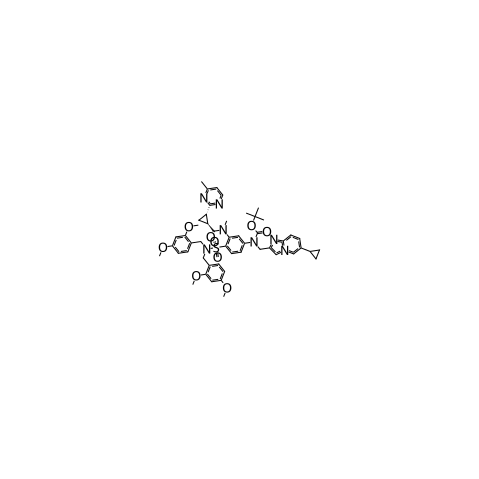 COc1ccc(CN(Cc2ccc(OC)cc2OC)S(=O)(=O)c2ccc(N(Cc3cn4cc(C5CC5)ccc4n3)C(=O)OC(C)(C)C)cc2N(C)C(=O)[C@H]2C[C@@H]2c2nccc(C)n2)c(OC)c1